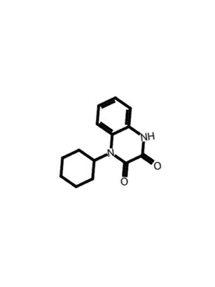 O=c1[nH]c2ccccc2n(C2CCCCC2)c1=O